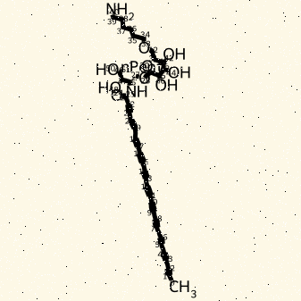 CC#CC#CC#CC#CC#CC#CC#CC#CC#CC#CC#CC(=O)N[C@@H](COC1OC(COCCCCCCN)C(O)C(O)C1O)[C@H](O)[C@H](O)CCCCC